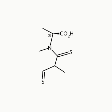 CC(C=S)C(=S)N(C)[C@@H](C)C(=O)O